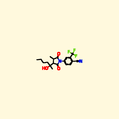 CCCCC(C)(O)C1C(=O)N(c2ccc(C#N)c(C(F)(F)F)c2)C(=O)C1C